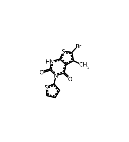 Cc1c(Br)sc2[nH]c(=O)n(-c3cccs3)c(=O)c12